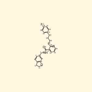 O=C(NCc1ccc2c(c1)OCC2)c1cccnc1SCCCc1ccc(F)cc1